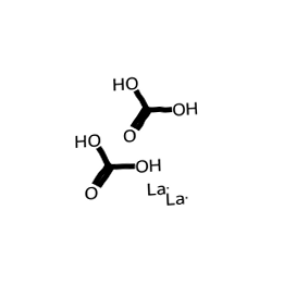 O=C(O)O.O=C(O)O.[La].[La]